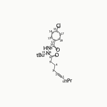 CCCC#CCCCC(=O)N(NC(=O)c1ccc(Cl)cc1)C(C)(C)C